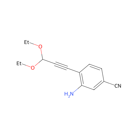 CCOC(C#Cc1ccc(C#N)cc1N)OCC